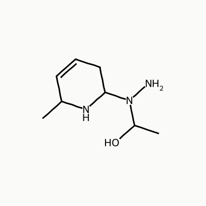 CC1C=CCC(N(N)C(C)O)N1